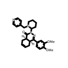 COc1ccc(C2=NN(C3CCCCN3Cc3ccncc3)C(=O)[C@@H]3CC=CC[C@H]23)cc1OC